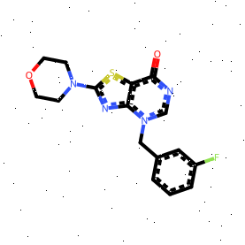 O=c1ncn(Cc2cccc(F)c2)c2nc(N3CCOCC3)sc12